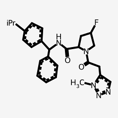 CC(C)c1ccc(C(NC(=O)C2CC(F)CN2C(=O)Cc2cnnn2C)c2ccccc2)cc1